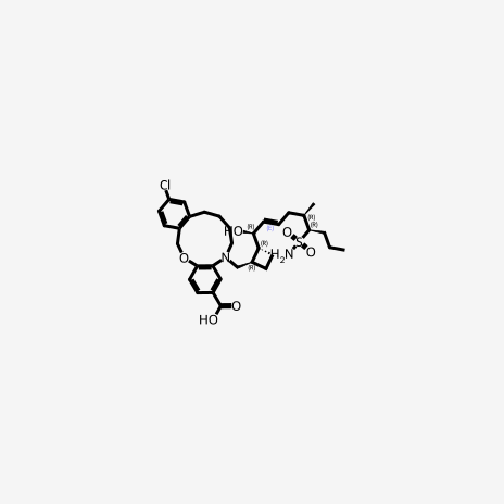 CCC[C@H]([C@H](C)C/C=C/[C@H](O)[C@@H]1CC[C@H]1CN1CCCCc2cc(Cl)ccc2COc2ccc(C(=O)O)cc21)S(N)(=O)=O